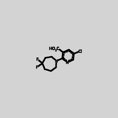 O=C(O)c1cc(Cl)cnc1N1CCCC(F)(F)CC1